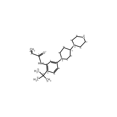 C=CC(=O)Nc1cc(N2CCC(N3CCOCC3)CC2)ccc1C(C)(C)C